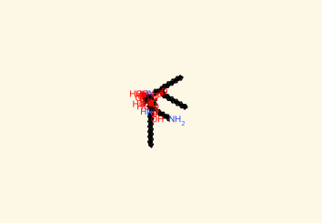 CCCCCCCCCCCC(=O)O[C@H](CCCCCCCCCCC)CC(=O)N[C@@H]1[C@H](OC[C@H]2O[C@H](OCCCCCCN)[C@@H](NC(=O)C[C@H](O)CCCCCCCCCCC)[C@@H](O)[C@@H]2O)O[C@H](CO)[C@@H](OP(=O)(O)O)[C@@H]1O